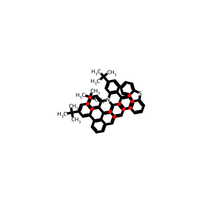 CC(C)(C)c1cc(-c2cccc3cccc(-c4ccccc4N(c4cccc(-c5cccc6sc7ccccc7c56)c4)c4cc(C(C)(C)C)ccc4-c4ccccc4)c23)cc(C(C)(C)C)c1